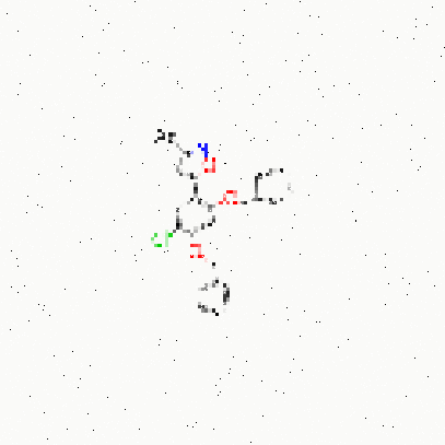 CC(=O)c1cc(-c2cc(Cl)c(OCc3ccccc3)cc2OCc2ccccc2)on1